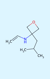 C=CNC1(CC(C)C)COC1